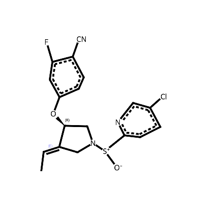 C/C=C1\CN([S+]([O-])c2ccc(Cl)cn2)C[C@@H]1Oc1ccc(C#N)c(F)c1